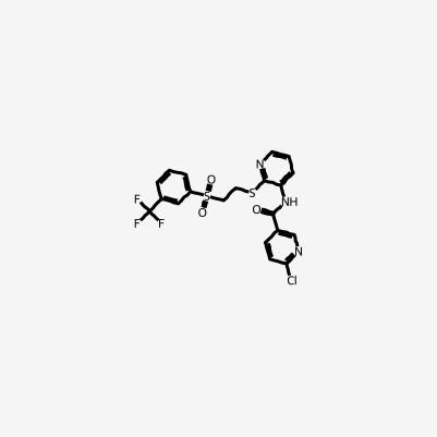 O=C(Nc1cccnc1SCCS(=O)(=O)c1cccc(C(F)(F)F)c1)c1ccc(Cl)nc1